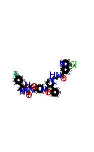 O=C(NCCN1CCC(C(=O)N2CCC(O)(Cn3cnc4c(-c5ccc(F)cc5)cnn4c3=O)CC2)C(c2ccccc2)C1)c1ccc2c(Cl)ccnc2c1